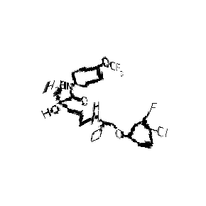 C=CC(O)(CCCNC(=O)COc1ccc(Cl)c(F)c1)C(=O)Nc1ccc(OC(F)(F)F)cc1